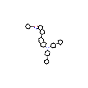 c1ccc(-c2ccc(N(c3ccc(-c4ccccc4)cc3)c3ccc4ccc(-c5ccc6ccc7oc(-c8ccccc8)nc7c6c5)cc4c3)cc2)cc1